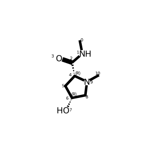 CNC(=O)[C@H]1C[C@@H](O)CN1C